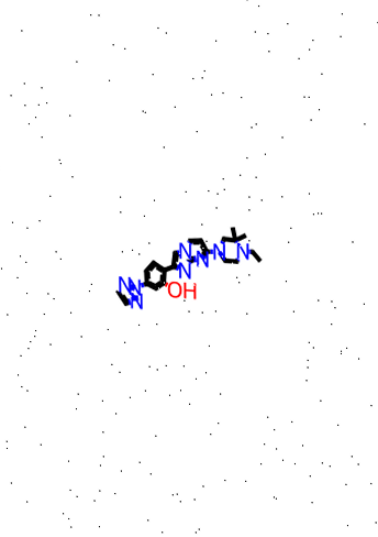 CCN1CCN(c2ccn3cc(-c4ccc(-n5nccn5)cc4O)nc3n2)CC1(C)C